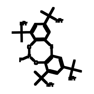 CCCC(C)(C)c1cc2c(c(C(C)(C)CCC)c1)OP(F)Oc1c(cc(C(C)(C)CCC)cc1C(C)(C)CCC)S2